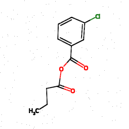 CCCC(=O)OC(=O)c1cccc(Cl)c1